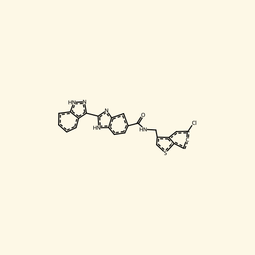 O=C(NCc1csc2ccc(Cl)cc12)c1ccc2[nH]c(-c3n[nH]c4ccccc34)nc2c1